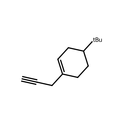 C#CCC1=CCC(C(C)(C)C)CC1